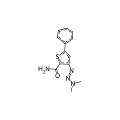 CN(C)N=Nc1cc(-c2ccccc2)sc1C(N)=O